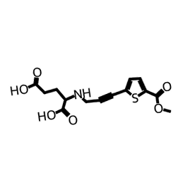 COC(=O)c1ccc(C#CCNC(CCC(=O)O)C(=O)O)s1